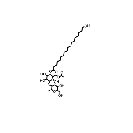 CC(=O)OCC1O[C@@H](OC2[C@H](C)OC(CO)[C@@H](O)[C@@H]2O)C(O)[C@@H](O)[C@@H]1OC(=O)CCCCCCC/C=C/CCCCCCCCO